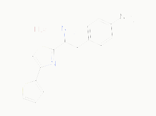 Br.NC(Cc1ccc([N+](=O)[O-])cc1)c1nc(-c2cccs2)cs1